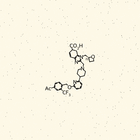 CC(=O)c1ccc(COc2cccc(C3CCN(Cc4nc5c(n4C[C@@H]4CCO4)CC(C(=O)O)C=C5)CC3)n2)c(C(F)(F)F)c1